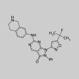 CC(C)n1c(=O)c2cnc(Nc3ccc4c(c3)CNCC4)nc2n1-c1cc(C(C)(C)F)on1